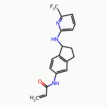 C=CC(=O)Nc1ccc2c(c1)CCC2Nc1cccc(C(F)(F)F)n1